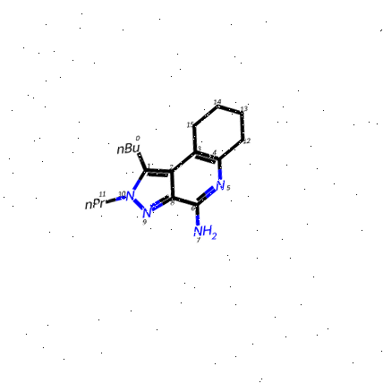 CCCCc1c2c3c(nc(N)c2nn1CCC)CCCC3